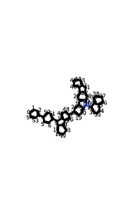 c1ccc(-c2ccc(C3c4ccccc4-c4cc(-c5ccc6c(c5)c5cc7c(cc5n6-c5cccc6ccccc56)Cc5ccccc5-7)ccc43)cc2)cc1